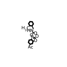 CC(=O)c1ccc2c(c1)oc(=O)n2OC(=O)NCc1ccccc1C